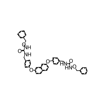 O=C(NCc1ccc(Oc2ccc3ccc(Oc4ccc(CNC(=O)NOCc5ccccc5)cc4)cc3c2)cc1)NOCc1ccccc1